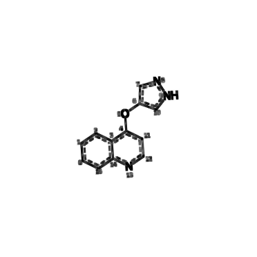 c1ccc2c(Oc3cn[nH]c3)ccnc2c1